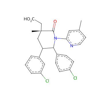 Cc1ccnc(N2C(=O)[C@@](C)(CC(=O)O)CC(c3cccc(Cl)c3)C2c2ccc(Cl)cc2)c1